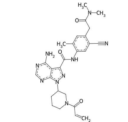 C=CC(=O)N1CCCC(n2nc(C(=O)Nc3cc(C#N)c(CC(=O)N(C)C)cc3C)c3c(N)ncnc32)C1